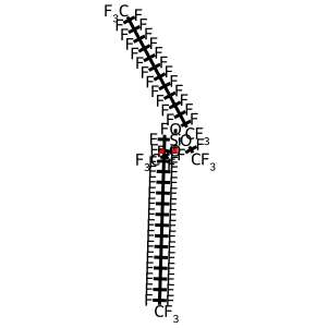 FC(F)(F)C(F)(F)O[Si](OC(F)(F)C(F)(F)F)(OC(F)(C(F)(F)F)C(F)(F)C(F)(F)C(F)(F)C(F)(F)C(F)(F)C(F)(F)C(F)(F)C(F)(F)C(F)(F)C(F)(F)C(F)(F)C(F)(F)F)C(F)(F)C(F)(F)C(F)(F)C(F)(F)C(F)(F)C(F)(F)C(F)(F)C(F)(F)C(F)(F)C(F)(F)C(F)(F)C(F)(F)C(F)(F)C(F)(F)C(F)(F)C(F)(F)C(F)(F)F